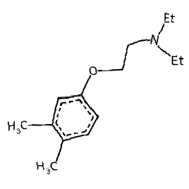 CCN(CC)CCOc1ccc(C)c(C)c1